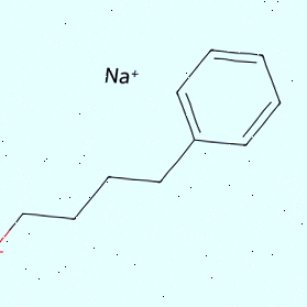 [Na+].[O-]CCCCc1ccccc1